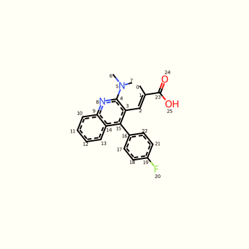 C/C(=C\c1c(N(C)C)nc2ccccc2c1-c1ccc(F)cc1)C(=O)O